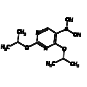 CC(C)Oc1ncc(B(O)O)c(OC(C)C)n1